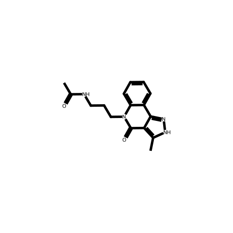 CC(=O)NCCCn1c(=O)c2c(C)[nH]nc2c2ccccc21